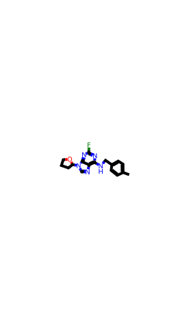 Cc1ccc(CNc2nc(F)nc3c2ncn3C2CCCO2)cc1